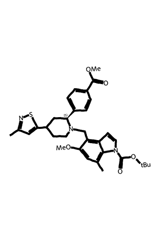 COC(=O)c1ccc([C@@H]2CC(c3cc(C)ns3)CCN2Cc2c(OC)cc(C)c3c2ccn3C(=O)OC(C)(C)C)cc1